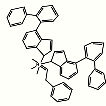 [CH3][Hf]([CH3])([CH3])(=[CH]Cc1ccccc1)([CH]1C=Cc2c(-c3ccccc3-c3ccccc3)cccc21)[CH]1C=Cc2c(-c3ccccc3-c3ccccc3)cccc21